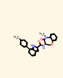 Cc1ccc(-c2cccc3cc(C(=O)N[C@H]4COc5ccccc5N(C)C4=O)[nH]c23)cc1